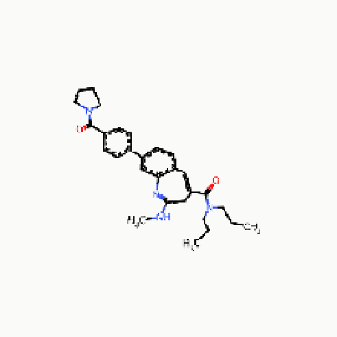 CCCN(CCC)C(=O)C1=Cc2ccc(-c3ccc(C(=O)N4CCCC4)cc3)cc2N=C(NC)C1